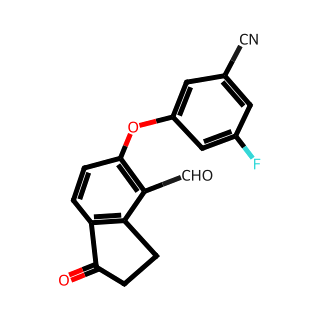 N#Cc1cc(F)cc(Oc2ccc3c(c2C=O)CCC3=O)c1